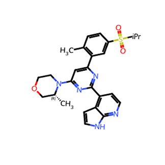 Cc1ccc(S(=O)(=O)C(C)C)cc1-c1cc(N2CCOC[C@H]2C)nc(-c2ccnc3[nH]ccc23)n1